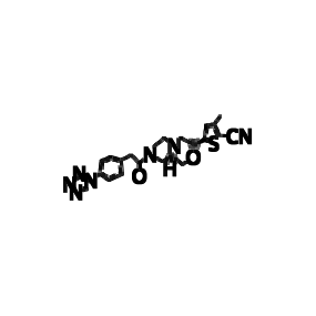 Cc1cc([C@@H]2CN3CCN(C(=O)Cc4ccc(-n5cnnn5)cc4)C[C@H]3CO2)sc1C#N